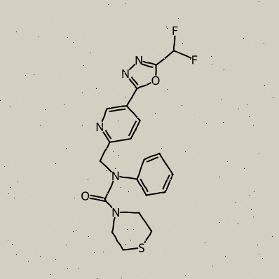 O=C(N1CCSCC1)N(Cc1ccc(-c2nnc(C(F)F)o2)cn1)c1ccccc1